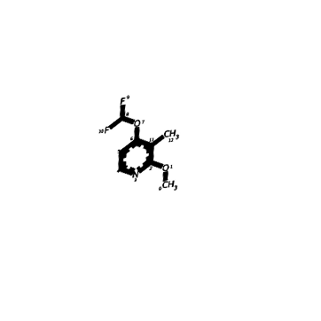 COc1nccc(OC(F)F)c1C